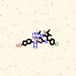 CC(=N)N1C(=N)[C@H](CC(=O)Nc2ccc3c(c2)CC(O)C3)N=C(c2ccc(Cl)cc2)c2c1sc(C)c2C